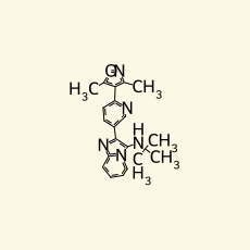 Cc1noc(C)c1-c1ccc(-c2nc3ccccn3c2NC(C)(C)C)cn1